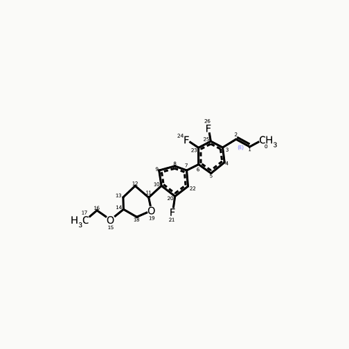 C/C=C/c1ccc(-c2ccc(C3CCC(OCC)CO3)c(F)c2)c(F)c1F